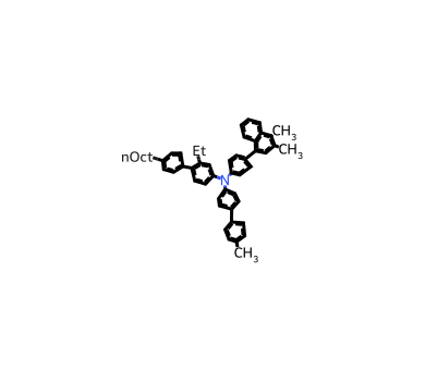 CCCCCCCCc1ccc(-c2ccc(N(c3ccc(-c4ccc(C)cc4)cc3)c3ccc(-c4cc(C)c(C)c5ccccc45)cc3)cc2CC)cc1